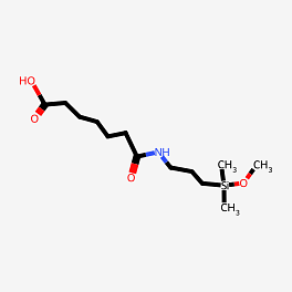 CO[Si](C)(C)CCCNC(=O)CCCCCC(=O)O